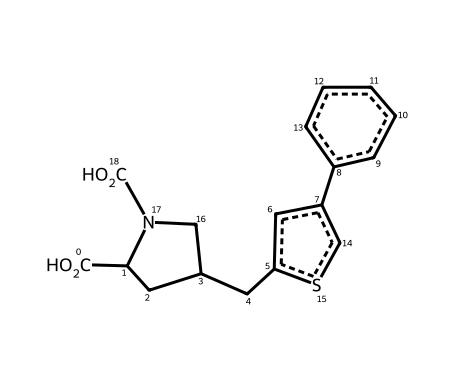 O=C(O)C1CC(Cc2cc(-c3ccccc3)cs2)CN1C(=O)O